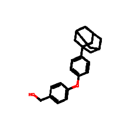 OCc1ccc(Oc2ccc(C34CC5CC(CC(C5)C3)C4)cc2)cc1